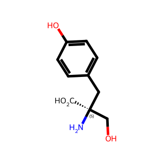 N[C@](CO)(Cc1ccc(O)cc1)C(=O)O